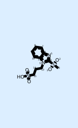 CS(=O)(=O)c1nc2ccccc2n1CCCS(=O)(=O)O